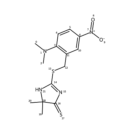 CN(C)c1ccc([N+](=O)[O-])cc1CSC1=NC(=S)C(C)(C)N1